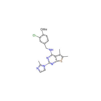 COc1ccc(CNc2nc(-n3ccnc3C)nc3sc(C)c(C)c23)cc1Cl